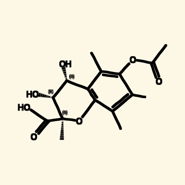 CC(=O)Oc1c(C)c(C)c2c(c1C)[C@@H](O)[C@@H](O)[C@](C)(C(=O)O)O2